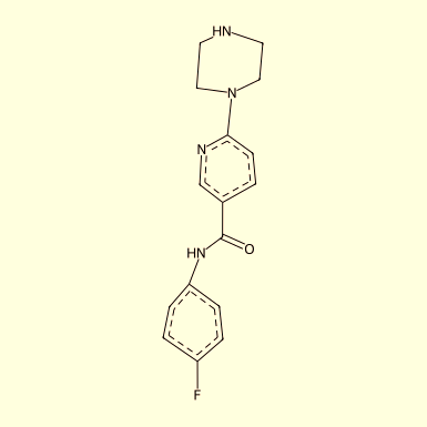 O=C(Nc1ccc(F)cc1)c1ccc(N2CCNCC2)nc1